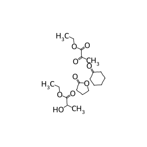 CCOC(=O)C(C)=O.CCOC(=O)C(C)O.O=C1CCCCC1.O=C1CCCO1